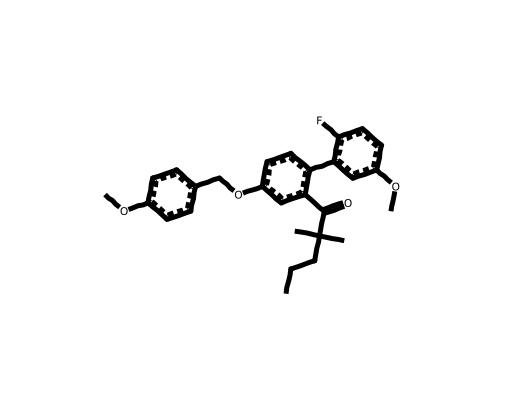 CCCC(C)(C)C(=O)c1cc(OCc2ccc(OC)cc2)ccc1-c1cc(OC)ccc1F